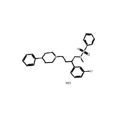 CN(CC(CCN1CCC(c2ccccc2)CC1)c1cccc(Cl)c1)S(=O)(=O)c1ccccc1.Cl